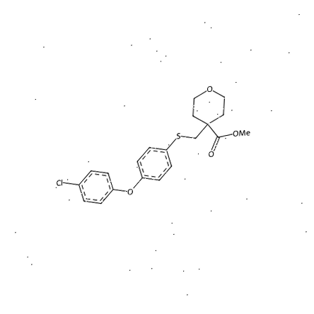 COC(=O)C1(CSc2ccc(Oc3ccc(Cl)cc3)cc2)CCOCC1